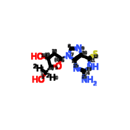 [2H]C([2H])(O)[C@H]1O[C@@H](n2cnc3c(=S)[nH]c(N)nc32)C[C@@H]1O